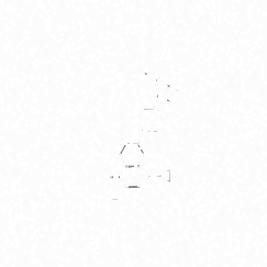 O=C(O)Oc1cn(C2CC2)c2cc(N3CCN(S(=O)(=O)C(F)(F)C(F)(F)C(F)(F)C(F)(F)F)CC3)c(F)cc2c1=O